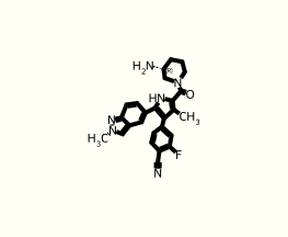 Cc1c(C(=O)N2CCC[C@@H](N)C2)[nH]c(-c2ccc3nn(C)cc3c2)c1-c1ccc(C#N)c(F)c1